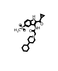 CS(=O)(=O)c1ccc2[nH]c(C(=O)C3CC3)c(NC(=O)CN3CCC(C4CCCCC4)CC3)c2c1